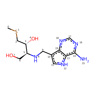 CSC[C@H](O)[C@H](CO)NCc1c[nH]c2c(N)ncnc12